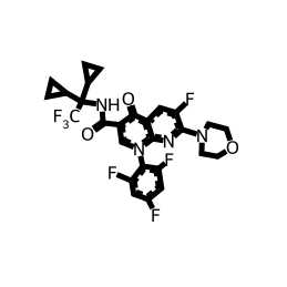 O=C(NC(C1CC1)(C1CC1)C(F)(F)F)c1cn(-c2c(F)cc(F)cc2F)c2nc(N3CCOCC3)c(F)cc2c1=O